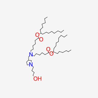 CCCCCCCCC(CCCCCC)OC(=O)CCCCCN(CCCCCC(=O)OC(CCCCCC)CCCCCCCC)CC1CCN(CCCCO)C1